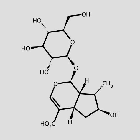 C[C@H]1[C@H]2[C@H](O[C@@H]3O[C@H](CO)[C@@H](O)[C@H](O)[C@H]3O)OC=C(C(=O)O)[C@H]2C[C@@H]1O